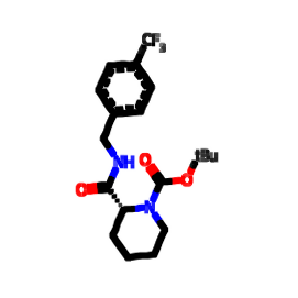 CC(C)(C)OC(=O)N1CCCC[C@@H]1C(=O)NCc1ccc(C(F)(F)F)cc1